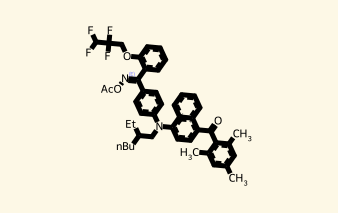 CCCCC(CC)CN(c1ccc(/C(=N\OC(C)=O)c2ccccc2OCC(F)(F)C(F)F)cc1)c1ccc(C(=O)c2c(C)cc(C)cc2C)c2ccccc12